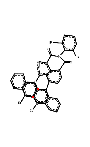 CCN1c2ccccc2N(c2ccc3c4c(ccc(N5c6ccccc6N(CC)c6ccccc65)c24)C(=O)N(c2c(C(C)C)cccc2C(C)C)C3=O)c2ccccc21